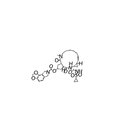 CN1CCCCC/C=C\[C@@H]2C[C@@]2(C(=O)NS(=O)(=O)C2CC2)NC(=O)[C@@H]2C[C@@H](OC(=O)N3Cc4ccc5c(c4C3)OCO5)CC2C1=O